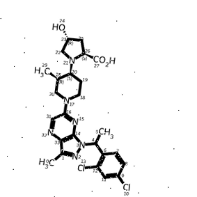 Cc1nn(C(C)c2ccc(Cl)cc2Cl)c2nc(N3CC[C@H](N4C[C@H](O)C[C@H]4C(=O)O)[C@H](C)C3)cnc12